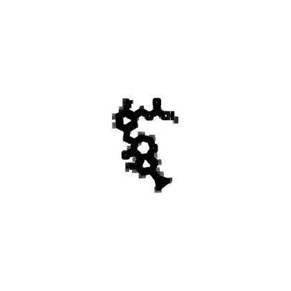 CC(=O)OCc1cc(CN2CCOc3cc(C4CC4)cc(F)c3C2=O)ccc1Br